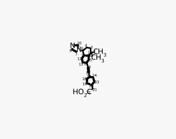 CC1(C)CCC(n2ccnc2)c2ccc(C#Cc3ccc(CC(=O)O)cc3)cc21